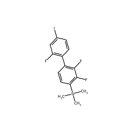 C[Si](C)(C)c1ccc(-c2ccc(I)cc2F)c(F)c1F